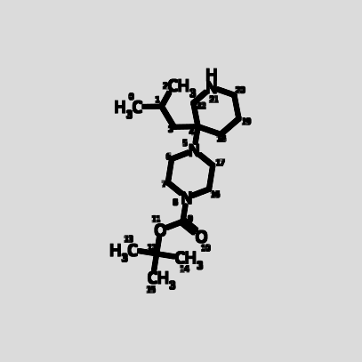 CC(C)CC1(N2CCN(C(=O)OC(C)(C)C)CC2)CCCNC1